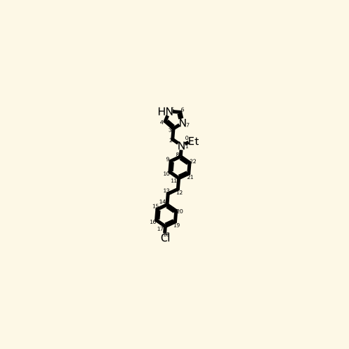 CCN(Cc1c[nH]cn1)c1ccc(CCc2ccc(Cl)cc2)cc1